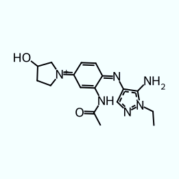 CCn1ncc(/N=C2C=C/C(=[N+]3/CCC(O)C3)C=C/2NC(C)=O)c1N